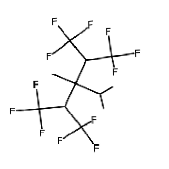 CC(C)C(C)(C(C(F)(F)F)C(F)(F)F)C(C(F)(F)F)C(F)(F)F